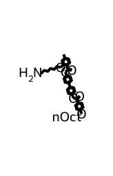 CCCCCCCCOc1ccc(C(=O)Oc2ccc(-c3ccc(OC(=O)c4ccc(C)cc4OCCCCCCN)cc3)cc2)cc1